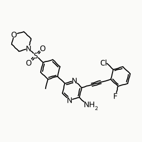 Cc1cc(S(=O)(=O)N2CCOCC2)ccc1-c1cnc(N)c(C#Cc2c(F)cccc2Cl)n1